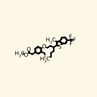 CCCCC(CCOc1ccc(CC(=O)OC)cc1CI)c1sc2cc(C(F)(F)F)ccc2c1C